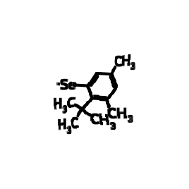 Cc1cc(C)c(C(C)(C)C)c([Se])c1